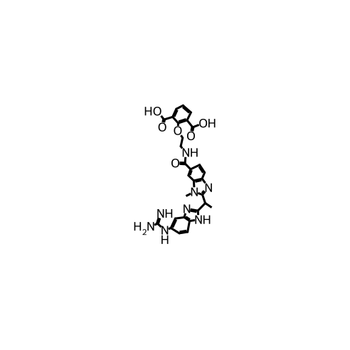 CC(c1nc2cc(NC(=N)N)ccc2[nH]1)c1nc2ccc(C(=O)NCCOc3c(C(=O)O)cccc3C(=O)O)cc2n1C